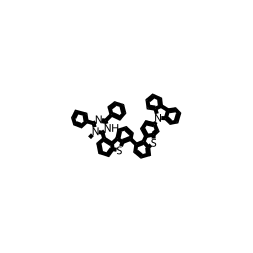 CN1C(c2ccccc2)N=C(c2ccccc2)NC1c1cccc2sc3c(-c4cccc5sc6cc(-n7c8ccccc8c8ccccc87)ccc6c45)cccc3c12